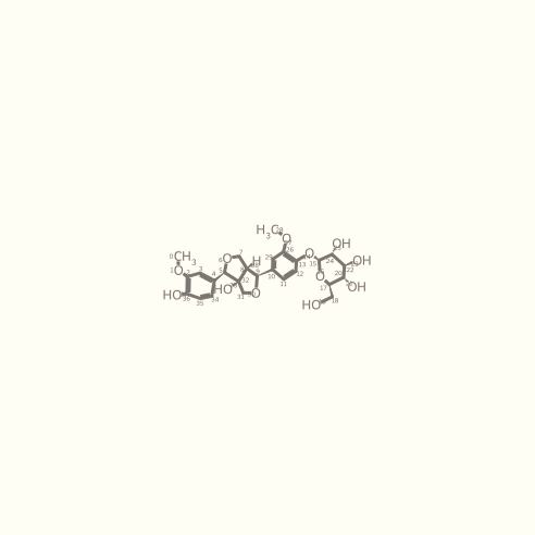 COc1cc([C@H]2OC[C@@H]3[C@@H](c4ccc(O[C@@H]5O[C@H](CO)[C@@H](O)[C@H](O)[C@H]5O)c(OC)c4)OC[C@]23O)ccc1O